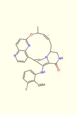 COc1c(F)cccc1Nc1c2cn3c1C(=O)NCC3C/C=C\C(C)Oc1ccc3nccc-2c3n1